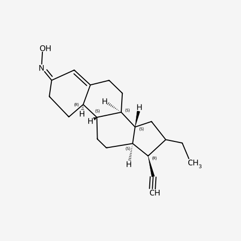 C#C[C@@H]1C(CC)C[C@H]2[C@@H]3CCC4=CC(=NO)CC[C@@H]4[C@H]3CC[C@@H]21